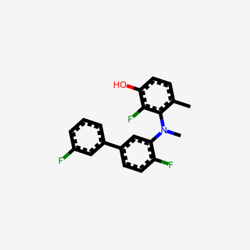 Cc1ccc(O)c(F)c1N(C)c1cc(-c2cccc(F)c2)ccc1F